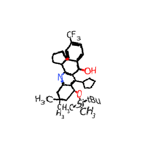 CC1(C)Cc2nc(C3CCCC3)c(C(O)c3ccc(C(F)(F)F)cc3)c(C3CCCC3)c2[C@@H](O[Si](C)(C)C(C)(C)C)C1